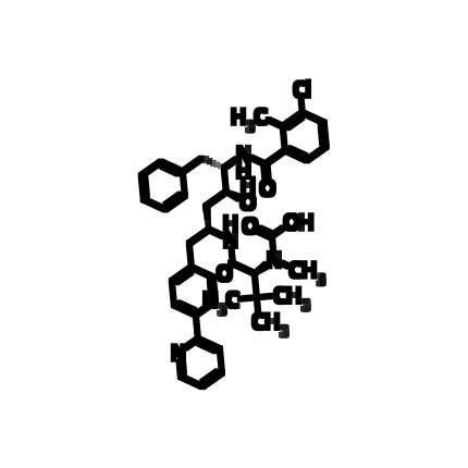 Cc1c(Cl)cccc1C(=O)N[C@@H](Cc1ccccc1)[C@@H](O)C[C@H](Cc1ccc(-c2ccccn2)cc1)NC(=O)[C@@H](N(C)C(=O)O)C(C)(C)C